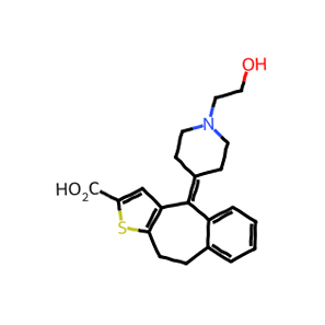 O=C(O)c1cc2c(s1)CCc1ccccc1C2=C1CCN(CCO)CC1